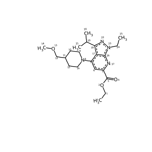 CCOC(=O)c1cc(N2CCC(COC)CC2)c2c(C(C)C)nn(CC)c2n1